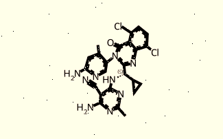 Cc1nc(N)c(C#N)c(N[C@H](c2nc3c(Cl)ccc(Cl)c3c(=O)n2-c2cnc(N)cc2C)C2CC2)n1